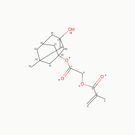 C=C(C)C(=O)OCC(=O)OC12CC3CC(C)(CC(O)(C3)C1)C2